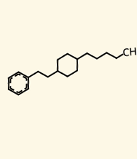 CCCCCC1CCC(CCc2ccccc2)CC1